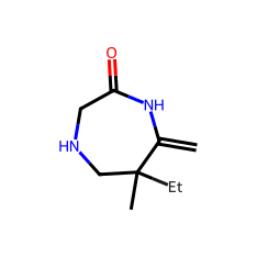 C=C1NC(=O)CNCC1(C)CC